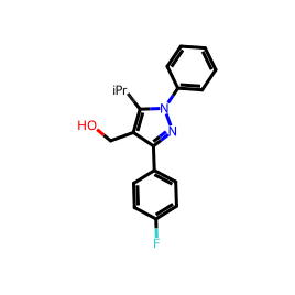 CC(C)c1c(CO)c(-c2ccc(F)cc2)nn1-c1ccccc1